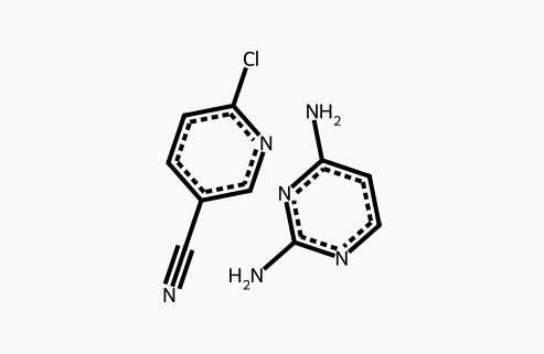 N#Cc1ccc(Cl)nc1.Nc1ccnc(N)n1